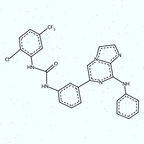 O=C(Nc1cccc(-c2cn3ccnc3c(Nc3ccccc3)n2)c1)Nc1cc(C(F)(F)F)ccc1Cl